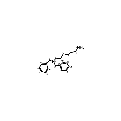 NCCCCCCN(Cc1ccccc1)Cc1ccccc1